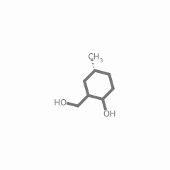 C[C@@H]1CCC(O)C(CO)C1